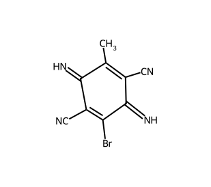 CC1=C(C#N)C(=N)C(Br)=C(C#N)C1=N